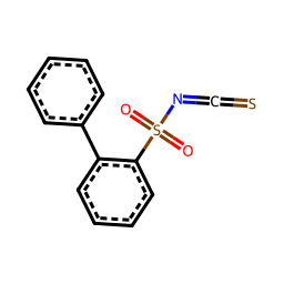 O=S(=O)(N=C=S)c1ccccc1-c1ccccc1